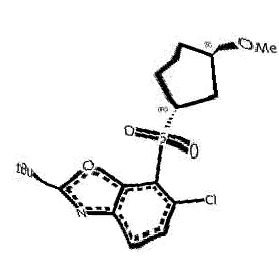 CO[C@@H]1CC[C@@H](S(=O)(=O)c2c(Cl)ccc3nc(C(C)(C)C)oc23)C1